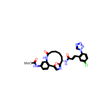 COC(=O)Nc1ccc2c(c1)NC(=O)CCCC[C@H](NC(=O)C=Cc1cc(Cl)ccc1-n1cnnn1)c1ncc-2o1